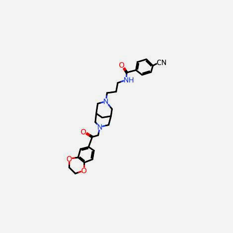 N#Cc1ccc(C(=O)NCCCN2CC3CC(C2)CN(CC(=O)c2ccc4c(c2)OCCO4)C3)cc1